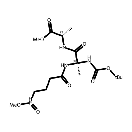 COC(=O)[C@H](C)NC(=O)[C@](C)(NC(=O)CCC[PH](=O)OC)NC(=O)OC(C)(C)C